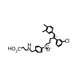 Cc1ccc(/C=C(\CCC[S+]([O-])c2ccc(CNCCC(=O)O)cc2)c2cccc(Cl)c2)cc1C